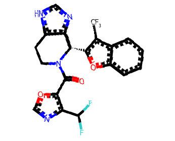 O=C(c1ocnc1C(F)F)N1CCc2[nH]cnc2[C@@H]1c1oc2ccccc2c1C(F)(F)F